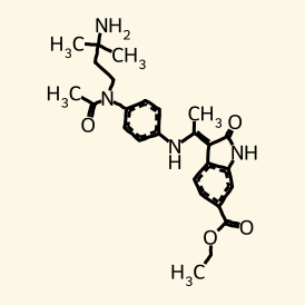 CCOC(=O)c1ccc2c(c1)NC(=O)C2=C(C)Nc1ccc(N(CCC(C)(C)N)C(C)=O)cc1